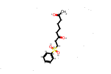 CC(=O)CCCCC(=O)CCS(=O)(=O)c1ccccc1